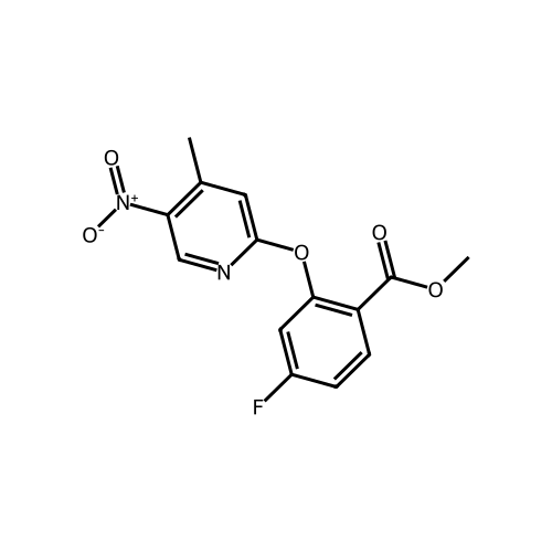 COC(=O)c1ccc(F)cc1Oc1cc(C)c([N+](=O)[O-])cn1